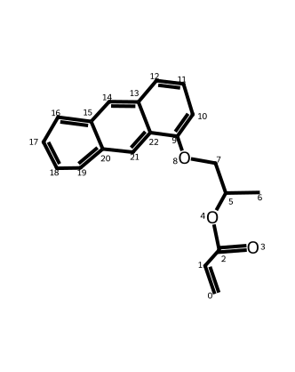 C=CC(=O)OC(C)COc1cccc2cc3ccccc3cc12